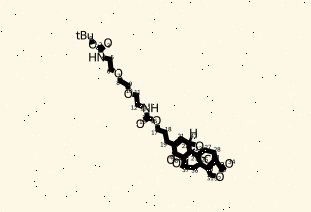 CC(C)(C)OC(=O)NCCOCCOCCNC(=O)OCCCC1=C[C@@H]2O[C@@]23[C@@]2(C)CCC4=C(COC4=O)C2C[C@@H]2O[C@@]23C1=O